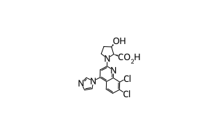 O=C(O)[C@@H]1[C@H](O)CCN1c1cc(-n2ccnc2)c2ccc(Cl)c(Cl)c2n1